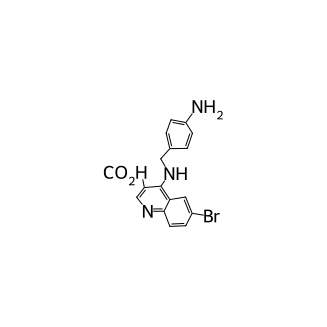 Nc1ccc(CNc2c(C(=O)O)cnc3ccc(Br)cc23)cc1